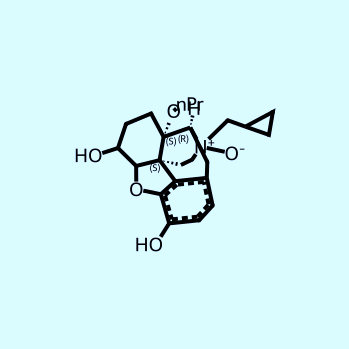 CCCO[C@@]12CCC(O)C3Oc4c(O)ccc5c4[C@@]31CC[N+]([O-])(CC1CC1)[C@@H]2C5